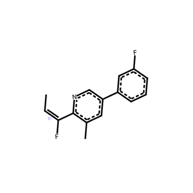 C/C=C(/F)c1ncc(-c2cccc(F)c2)cc1C